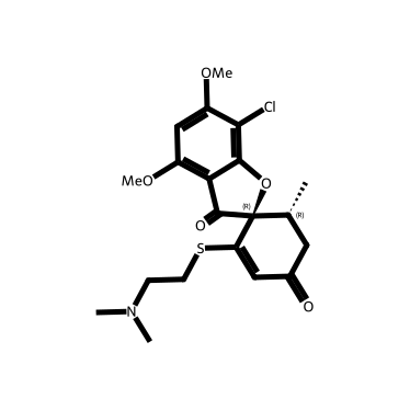 COc1cc(OC)c2c(c1Cl)O[C@]1(C2=O)C(SCCN(C)C)=CC(=O)C[C@H]1C